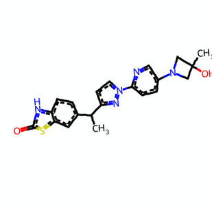 CC(c1ccc2[nH]c(=O)sc2c1)c1ccn(-c2ccc(N3CC(C)(O)C3)cn2)n1